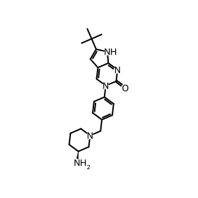 CC(C)(C)c1cc2cn(-c3ccc(CN4CCC[C@H](N)C4)cc3)c(=O)nc2[nH]1